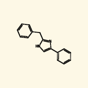 c1ccc(Cc2nc(-c3ccccc3)c[nH]2)cc1